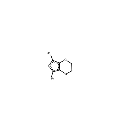 CC(C)c1sc(C(C)C)c2c1OCCO2